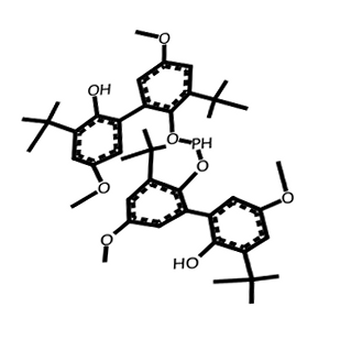 COc1cc(-c2cc(OC)cc(C(C)(C)C)c2OPOc2c(-c3cc(OC)cc(C(C)(C)C)c3O)cc(OC)cc2C(C)(C)C)c(O)c(C(C)(C)C)c1